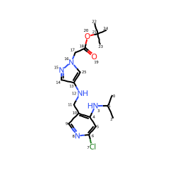 CC(C)Nc1cc(Cl)ncc1CNc1cnn(CC(=O)OC(C)(C)C)c1